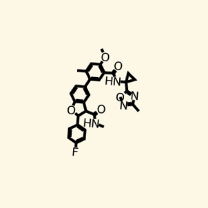 CNC(=O)C1c2cc(-c3cc(C(=O)NC4(c5nc(C)no5)CC4)c(OC)cc3C)ccc2OC1c1ccc(F)cc1